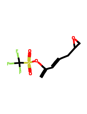 C=C(/C=C/CC1CO1)OS(=O)(=O)C(F)(F)F